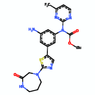 CC(C)(C)OC(=O)N(c1cc(N)cc(-c2cnc(N3CCCNC(=O)C3)s2)c1)c1nccc(C(F)(F)F)n1